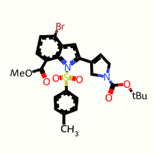 COC(=O)c1ccc(Br)c2cc(C3=CCN(C(=O)OC(C)(C)C)C3)n(S(=O)(=O)c3ccc(C)cc3)c12